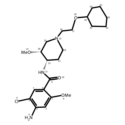 COc1cc(N)c(Cl)cc1C(=O)N[C@H]1CCN(CCOC2CCCCC2)C[C@H]1OC